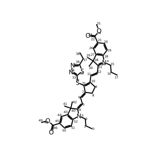 CCCN1/C(=C/C=C2\CCC(/C=C/C3=[N+](CCC)c4ccc(C(=O)OC)cc4C3(C)C)=C2Sc2nnc(CC)s2)C(C)(C)c2cc(C(=O)OC)ccc21